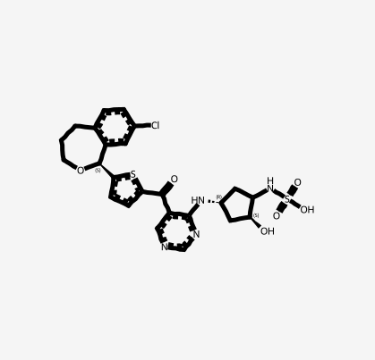 O=C(c1ccc([C@H]2OCCCc3ccc(Cl)cc32)s1)c1cncnc1N[C@@H]1C[C](NS(=O)(=O)O)[C@@H](O)C1